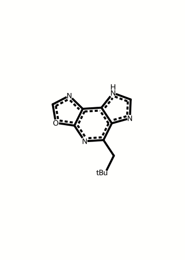 CC(C)(C)Cc1nc2ocnc2c2[nH]cnc12